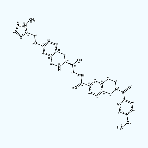 COc1ccc(C(=O)N2CCc3cc(C(=O)NCC(O)[C@@H]4Cc5ccc(OCc6ccnn6C)cc5CN4)ccc3C2)cc1